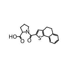 O=C(O)C1CCCN1C(=O)c1cc2c(s1)-c1ccccc1CC2